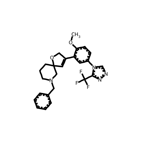 COc1ccc(-n2cnnc2C(F)(F)F)cc1C1=CC2(CCCN(Cc3ccccc3)C2)OC1